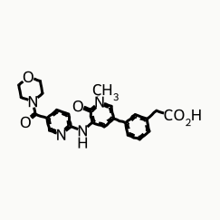 Cn1cc(-c2cccc(CC(=O)O)c2)cc(Nc2ccc(C(=O)N3CCOCC3)cn2)c1=O